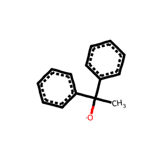 CC([O])(c1ccccc1)c1ccccc1